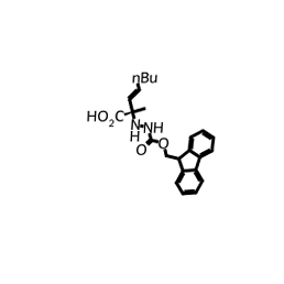 CCCCC=C[C@](C)(NNC(=O)OCC1c2ccccc2-c2ccccc21)C(=O)O